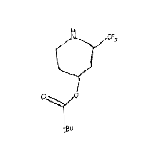 CC(C)(C)C(=O)OC1CCNC(C(F)(F)F)C1